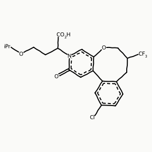 CC(C)OCCC(C(=O)O)n1cc2c(cc1=O)-c1cc(Cl)ccc1CC(C(F)(F)F)CO2